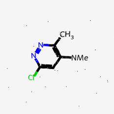 CNc1cc(Cl)nnc1C